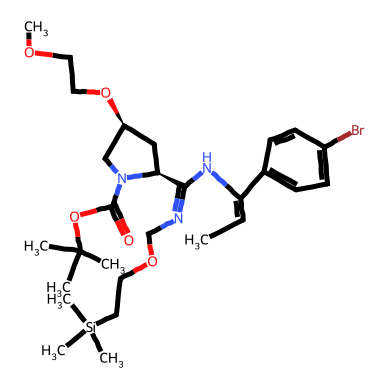 C/C=C(\N/C(=N/COCC[Si](C)(C)C)[C@@H]1C[C@H](OCCOC)CN1C(=O)OC(C)(C)C)c1ccc(Br)cc1